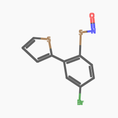 O=NSc1ccc(Br)cc1-c1cccs1